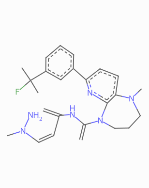 C=C(/C=C\N(C)N)NC(=C)N1CCCN(C)c2ccc(-c3cccc(C(C)(C)F)c3)nc21